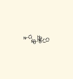 N#Cc1cccc(-c2cc(CNS(=O)(=O)c3ccc4ccccc4c3)on2)c1